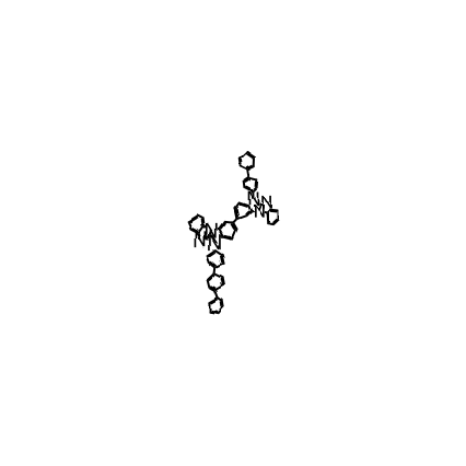 c1ccc(-c2ccc(-c3ccc(-n4c5ccc(-c6ccc7c(c6)n6c8ccccc8nc6n7-c6ccc(-c7ccccc7)cc6)cc5n5c6ccccc6nc45)cc3)cc2)cc1